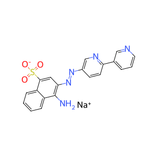 Nc1c(N=Nc2ccc(-c3cccnc3)nc2)cc(S(=O)(=O)[O-])c2ccccc12.[Na+]